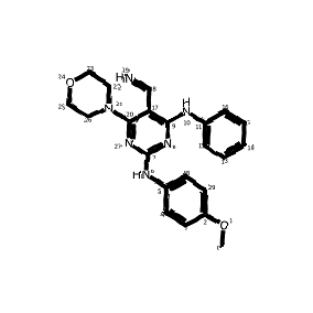 COc1ccc(Nc2nc(Nc3ccccc3)c(C=N)c(N3CCOCC3)n2)cc1